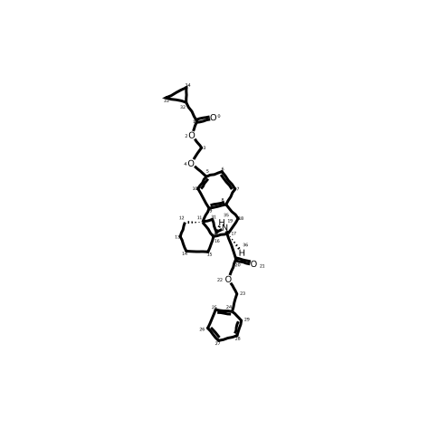 O=C(OCOc1ccc2c(c1)[C@]13CCCC[C@@H]1[C@H](C2)N(C(=O)OCc1ccccc1)CC3)C1CC1